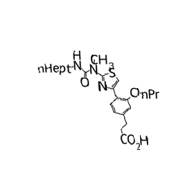 CCCCCCCNC(=O)N(C)c1nc(-c2ccc(CCC(=O)O)cc2OCCC)cs1